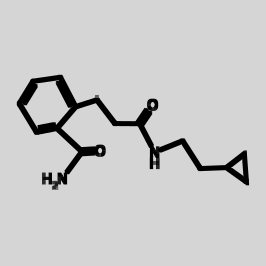 NC(=O)c1ccccc1[CH]CC(=O)NCCC1CC1